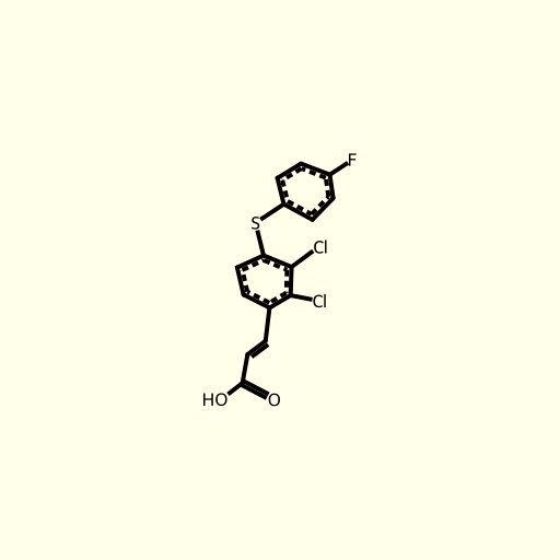 O=C(O)C=Cc1ccc(Sc2ccc(F)cc2)c(Cl)c1Cl